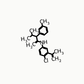 C=C(C)c1cc(NC(=C)C(c2cccc(C)c2)C(C)C)ccc1Cl